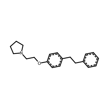 c1ccc(CCc2ccc(OCCN3CCCC3)cc2)cc1